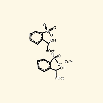 CCCCCCCCC(O)c1ccccc1S(=O)(=O)[O-].CCCCCCCCC(O)c1ccccc1S(=O)(=O)[O-].[Cu+2]